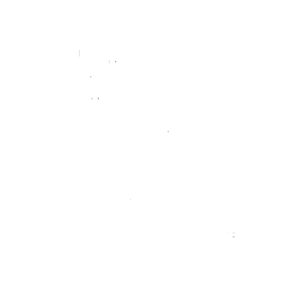 O=C(CCC(=O)c1ccc2c(c1)OC(F)(F)O2)c1cccc(C(F)(F)F)c1